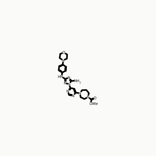 COC(=O)N1CCCN(c2cc(-n3nc(Nc4ccc(N5CCOCC5)cc4)nc3N)ncn2)CC1